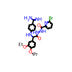 CCOc1cc(C(Nc2ccc(C(=N)N)cc2)C(=O)NNC(=O)c2cccc(Br)n2)ccc1OC(C)C